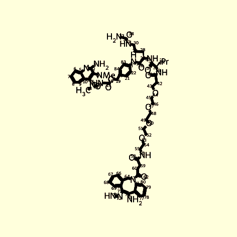 CNc1c(N)nc2ccccc2c1N(C)ONC(=O)OCc1ccc(NC(=O)[C@@H](CCCNC(N)=O)NC(=O)[C@H](NC(=O)CCOCCOCCOCCOCCNC(=O)CCC(=O)N2Cc3ccccc3/C(N=N)=C(/N)c3ccccc32)C(C)C)cc1